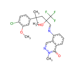 COc1cc(C(C)(C)CC(O)(C=Nc2cccc3c(=O)n(C)ncc23)C(F)(F)F)ccc1Cl